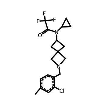 Cc1ccc(CN2CC3(CC(N(C(=O)C(F)(F)F)C4CC4)C3)C2)c(Cl)c1